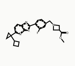 COC(=O)C1CN(Cc2ccc(-c3nc4ccc(C5(C6CCC6)CC5)nc4s3)c(F)c2)C1